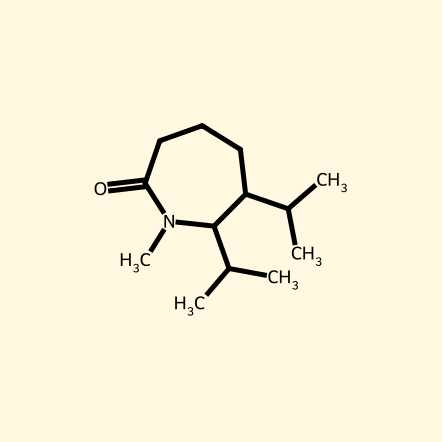 CC(C)C1CCCC(=O)N(C)C1C(C)C